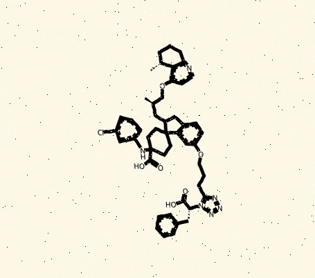 C[C@@H](COc1ccnc2c1[C@H](C)CCC2)CC1Cc2ccc(OCCCc3nnnn3[C@H](Cc3ccccc3)C(=O)O)cc2C12CCC(Nc1cccc(Cl)c1)(C(=O)O)CC2